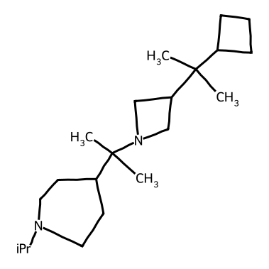 CC(C)N1CCC(C(C)(C)N2CC(C(C)(C)C3CCC3)C2)CC1